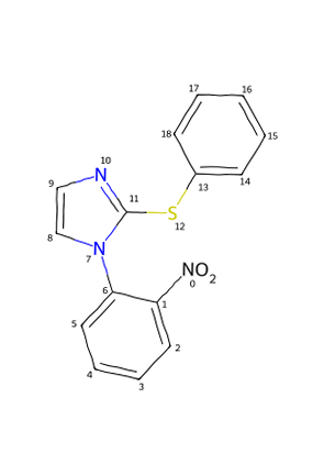 O=[N+]([O-])c1ccccc1-n1ccnc1Sc1ccccc1